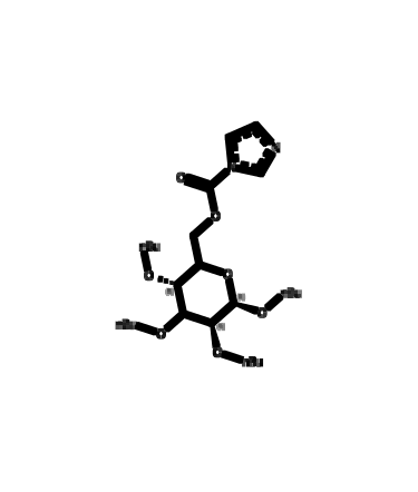 CCCCOC1[C@H](OCCCC)C(COC(=O)n2ccnc2)O[C@@H](OCCCC)[C@H]1OCCCC